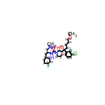 CNC[C@H](CC1CCC(F)CC1)NC(=O)N1CCC[C@@H]([C@@](O)(CCCCOC)c2cccc(Cl)c2F)C1